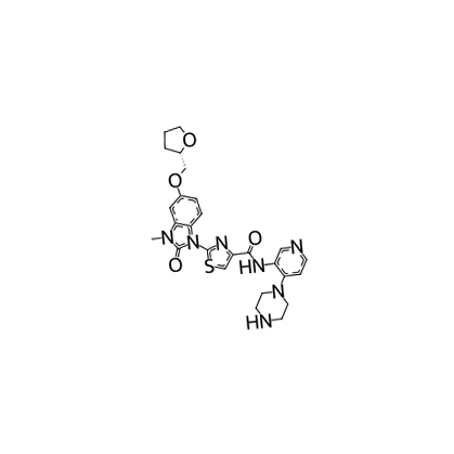 Cn1c(=O)n(-c2nc(C(=O)Nc3cnccc3N3CCNCC3)cs2)c2ccc(OC[C@@H]3CCCO3)cc21